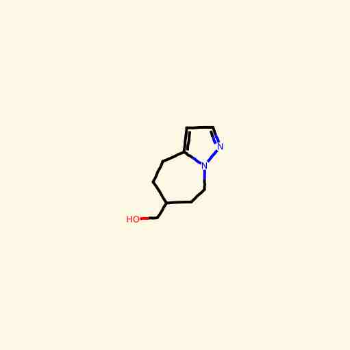 OCC1CCc2ccnn2CC1